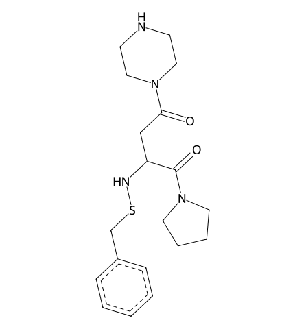 O=C(CC(NSCc1ccccc1)C(=O)N1CCCC1)N1CCNCC1